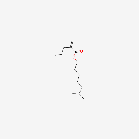 C=C(CCC)C(=O)OCCCCCC(C)C